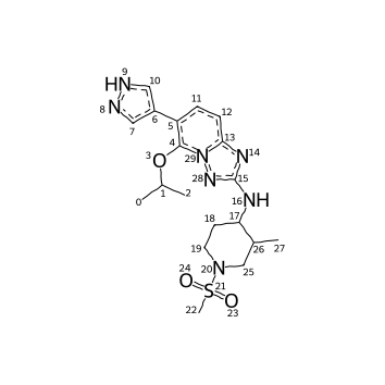 CC(C)Oc1c(-c2cn[nH]c2)ccc2nc(NC3CCN(S(C)(=O)=O)CC3C)nn12